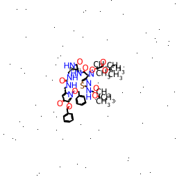 CC(C)(C)OC(=O)Nc1nc(/C(=N/OC(C)(C)C(=O)OC(C)(C)C)C(=O)N[C@@H]2C(=O)N[C@@H]2CNC(=O)NCc2cc(=O)c(OCc3ccccc3)cn2OCc2ccccc2)cs1